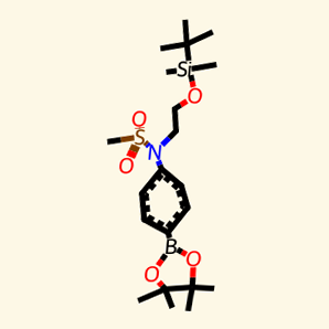 CC1(C)OB(c2ccc(N(CCO[Si](C)(C)C(C)(C)C)S(C)(=O)=O)cc2)OC1(C)C